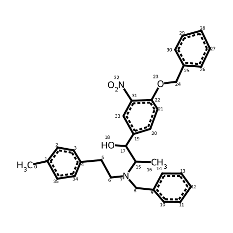 Cc1ccc(CCN(Cc2ccccc2)C(C)C(O)c2ccc(OCc3ccccc3)c([N+](=O)[O-])c2)cc1